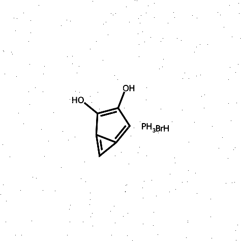 Br.Oc1cc2cc-2c1O.P